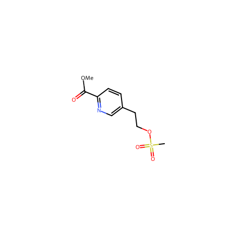 COC(=O)c1ccc(CCOS(C)(=O)=O)cn1